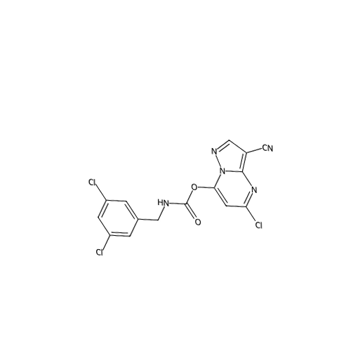 N#Cc1cnn2c(OC(=O)NCc3cc(Cl)cc(Cl)c3)cc(Cl)nc12